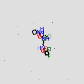 O=C(NC1CCCCC1)N[C@@H](CC(Cl)Cl)C(=O)NCCCCNS(=O)(=O)c1ccc(F)cc1Cl